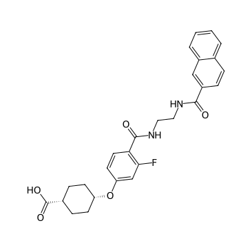 O=C(NCCNC(=O)c1ccc(O[C@H]2CC[C@@H](C(=O)O)CC2)cc1F)c1ccc2ccccc2c1